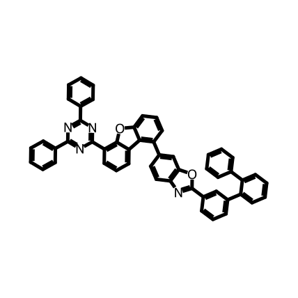 c1ccc(-c2nc(-c3ccccc3)nc(-c3cccc4c3oc3cccc(-c5ccc6nc(-c7cccc(-c8ccccc8-c8ccccc8)c7)oc6c5)c34)n2)cc1